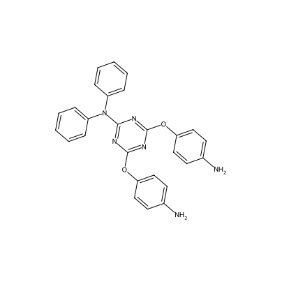 Nc1ccc(Oc2nc(Oc3ccc(N)cc3)nc(N(c3ccccc3)c3ccccc3)n2)cc1